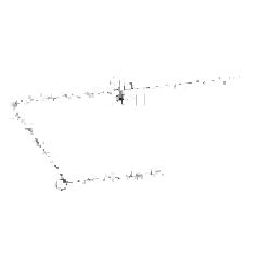 CCCCCCCCCCCCCCCCCCCCCCCCC(C(=O)O)[C@H](O)CCCCCCCCCCCCCCCCCC[C@H]1C[C@@H]1[C@@H](C)CCCCCCCCCCCCCCC[C@H](OC)[C@@H](C)CCCCCCCCCCCCCCCCCC